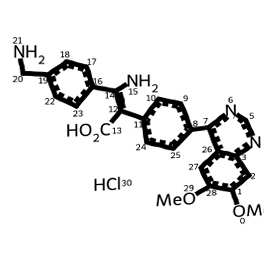 COc1cc2ncnc(-c3ccc(/C(C(=O)O)=C(\N)c4ccc(CN)cc4)cc3)c2cc1OC.Cl